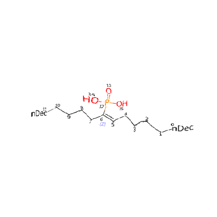 CCCCCCCCCCCCCC/C=C(/CCCCCCCCCCCCCC)P(=O)(O)O